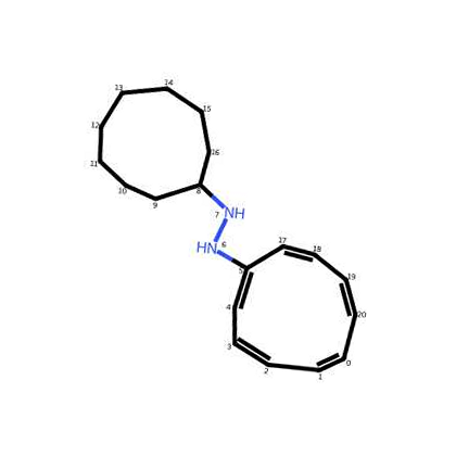 c1ccccc(NNC2CCCCCCCC2)cccc1